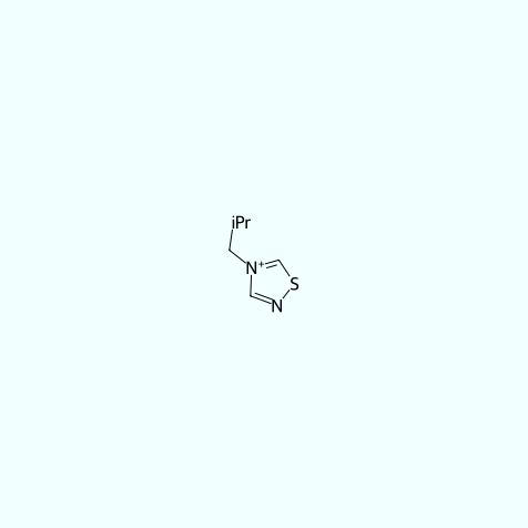 CC(C)C[n+]1cnsc1